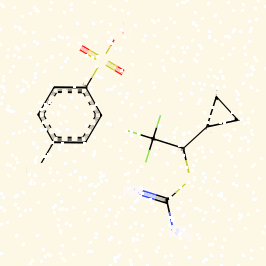 Cc1ccc(S(=O)(=O)O)cc1.N=C(N)SC(C1CC1)C(F)(F)F